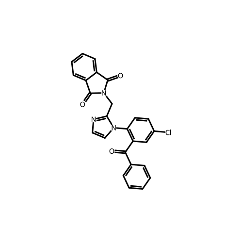 O=C(c1ccccc1)c1cc(Cl)ccc1-n1ccnc1CN1C(=O)c2ccccc2C1=O